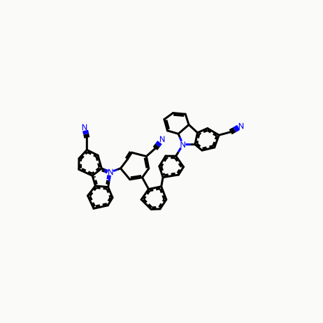 N#CC1=CC(c2ccccc2-c2ccc(N3c4ccc(C#N)cc4C4C=CC=CC43)cc2)=CC(n2c3ccccc3c3ccc(C#N)cc32)C=C1